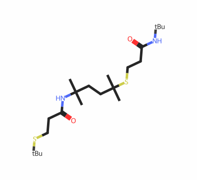 CC(C)(C)NC(=O)CCSC(C)(C)CCC(C)(C)NC(=O)CCSC(C)(C)C